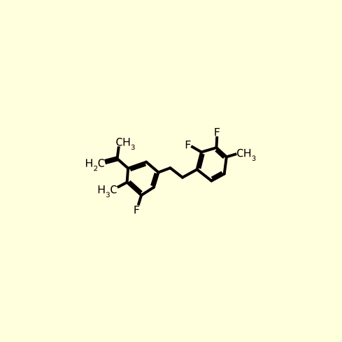 C=C(C)c1cc(CCc2ccc(C)c(F)c2F)cc(F)c1C